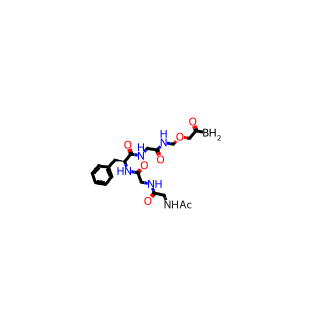 BC(=O)COCNC(=O)CNC(=O)[C@H](Cc1ccccc1)NC(=O)CNC(=O)CNC(C)=O